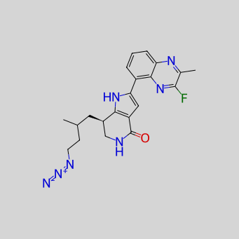 Cc1nc2cccc(-c3cc4c([nH]3)[C@H](CC(C)CCN=[N+]=[N-])CNC4=O)c2nc1F